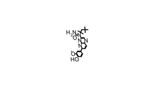 COc1cc(-c2ccc3ncc(N(C(N)=O)C(C)(C)CC(C)(C)C)nc3n2)ccc1O